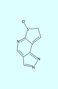 [O-][S+]1CC=c2c1ncc1c2=NN=C1